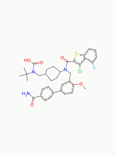 COc1ccc(-c2ccc(C(N)=O)cc2)cc1CN(C(=O)c1sc2cccc(F)c2c1Cl)C1CCC(CN(C(=O)O)C(C)(C)C)CC1